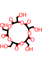 O=C1OC(CO)C(=O)OC(CO)C(=O)OC(CO)C(=O)OC(CO)C(=O)OC1CO